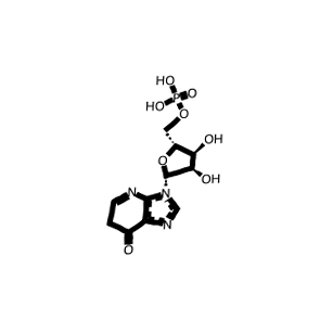 O=C1CC=Nc2c1ncn2[C@@H]1O[C@H](COP(=O)(O)O)[C@@H](O)[C@H]1O